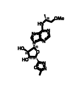 COC[C@@H](C)Nc1ncnc2c1ncn2[C@@H]1O[C@H](c2nnc(C)o2)[C@@H](O)[C@H]1O